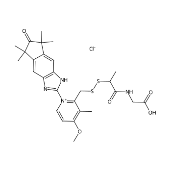 COc1cc[n+](-c2nc3cc4c(cc3[nH]2)C(C)(C)C(=O)C4(C)C)c(CSSC(C)C(=O)NCC(=O)O)c1C.[Cl-]